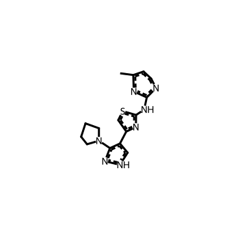 Cc1ccnc(Nc2nc(-c3c[nH]nc3N3CCCC3)cs2)n1